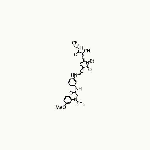 CCn1c(=C=C(C#N)C(=O)NCC(F)(F)F)sc(=C=CNc2cccc(NC(=O)CN(C)c3cccc(OC)c3)c2)c1=O